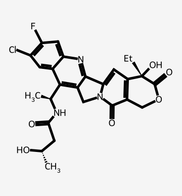 CC[C@@]1(O)C(=O)OCc2c1cc1n(c2=O)Cc2c-1nc1cc(F)c(Cl)cc1c2[C@H](C)NC(=O)C[C@H](C)O